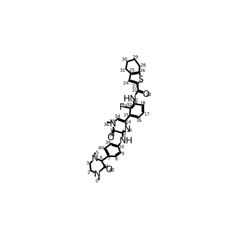 CN1CCN(C)C(c2ccc(Nc3nc(-c4cccc(NC(=O)c5cc6c(s5)CCCC6)c4F)cn(C)c3=O)cc2)C1=O